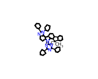 CC1(C)c2ccccc2-c2ccc3c4c5c(ccc4n(-c4nc(-c6ccccc6)nc(-c6ccccc6)n4)c3c21)nc(-c1ccccc1)n5-c1ccccc1